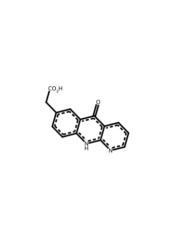 O=C(O)Cc1ccc2[nH]c3ncccc3c(=O)c2c1